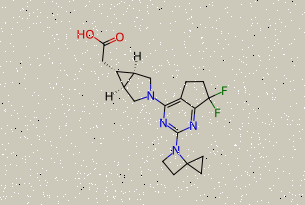 O=C(O)C[C@@H]1[C@H]2CN(c3nc(N4CCC45CC5)nc4c3CCC4(F)F)C[C@@H]12